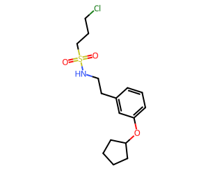 O=S(=O)(CCCCl)NCCc1cccc(OC2CCCC2)c1